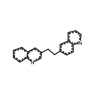 c1cnc2ccc(CCc3cnc4ccccc4c3)cc2c1